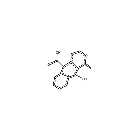 O=C(O)c1c2ccccc2c(O)c2c(=O)occc12